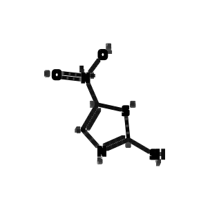 O=[N+]([O-])c1cnc(S)s1